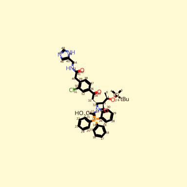 C[C@@H](O[Si](C)(C)C(C)(C)C)[C@H]1C(=O)N(C(C(=O)O)=P(c2ccccc2)(c2ccccc2)c2ccccc2)[C@@H]1CC(=O)c1ccc(CC(=O)NCc2cnc[nH]2)c(Cl)c1